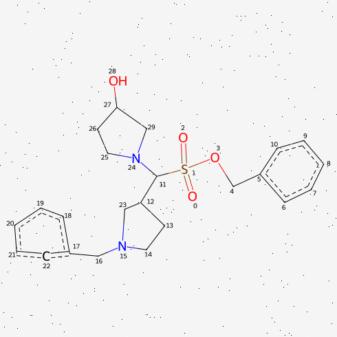 O=S(=O)(OCc1ccccc1)C(C1CCN(Cc2ccccc2)C1)N1CCC(O)C1